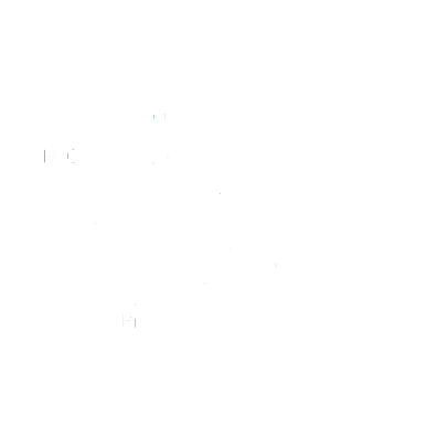 CC1Cc2c(Br)cc(-c3ccccc3)cc2C1=O